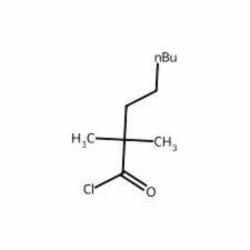 CCCCCCC(C)(C)C(=O)Cl